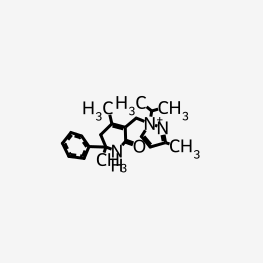 CC1=N[N+](CC2=C(C)CC(C)(c3ccccc3)NC2=O)(C(C)C)C=C1